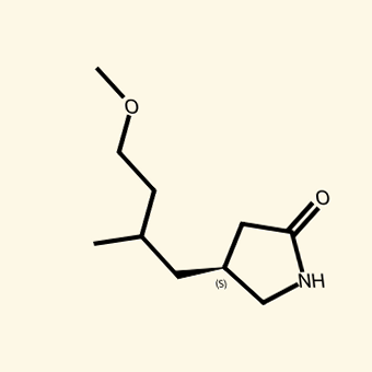 COCCC(C)C[C@@H]1CNC(=O)C1